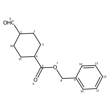 O=CC1CCC(C(=O)OCc2ccccc2)CC1